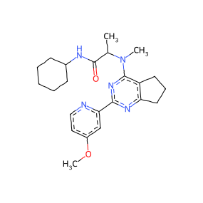 COc1ccnc(-c2nc3c(c(N(C)C(C)C(=O)NC4CCCCC4)n2)CCC3)c1